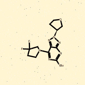 CC(C)(C)c1nc(N2CCC(F)(F)C2)c2nn([C@H]3CCOC3)nc2n1